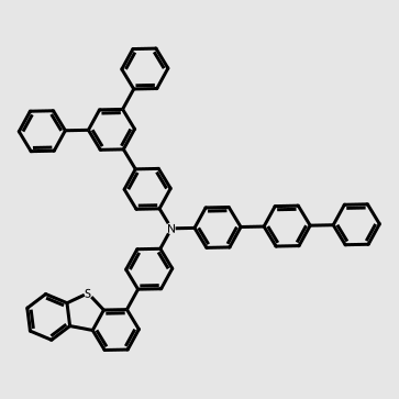 c1ccc(-c2ccc(-c3ccc(N(c4ccc(-c5cc(-c6ccccc6)cc(-c6ccccc6)c5)cc4)c4ccc(-c5cccc6c5sc5ccccc56)cc4)cc3)cc2)cc1